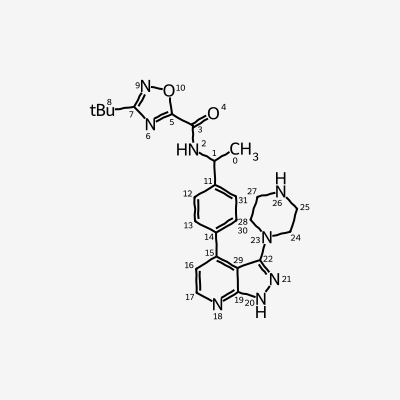 CC(NC(=O)c1nc(C(C)(C)C)no1)c1ccc(-c2ccnc3[nH]nc(N4CCNCC4)c23)cc1